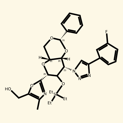 CC[Si](CC)(CC)OC1[C@@H](n2cc(-c3cccc(F)c3)nn2)[C@H]2O[C@@H](c3ccccc3)OC[C@H]2O[C@H]1c1nc(C)c(CO)o1